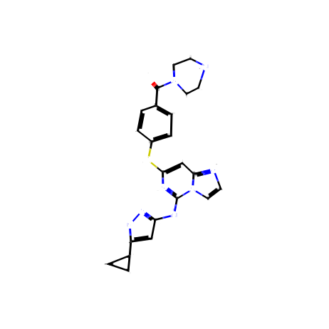 O=C(c1ccc(Sc2cc3nccn3c(Nc3cc(C4CC4)[nH]n3)n2)cc1)N1CCNCC1